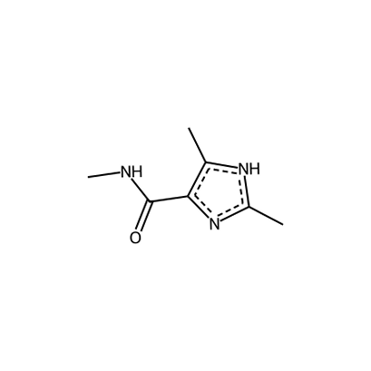 CNC(=O)c1nc(C)[nH]c1C